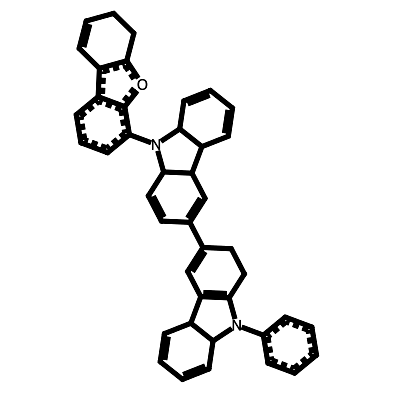 C1=CC2C3=C(CCC(C4=CC5C6C=CC=CC6N(c6cccc7c8c(oc67)CCC=C8)C5C=C4)=C3)N(c3ccccc3)C2C=C1